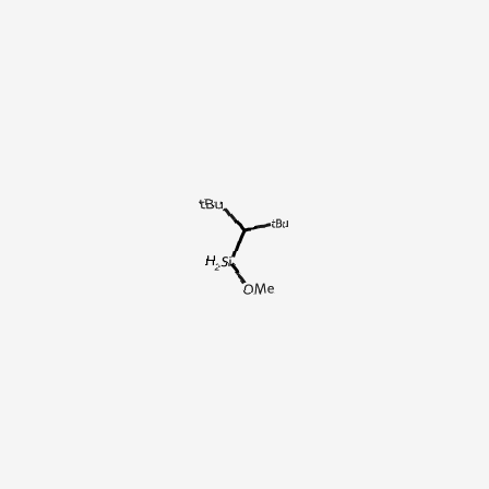 CO[SiH2]C(C(C)(C)C)C(C)(C)C